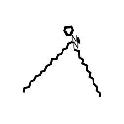 CCCCCCCCCCCCCCCCCCC1N(CCCCCCCCCCCCCCC)C=CN1c1ccccc1